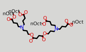 CCCCCCCCOC(=O)CCCN(CCCOC(=O)CCC(=O)OCCCN(CCCC(=O)OCCCCCCCC)CCCC(=O)OCCCCCCCC)CCCC(=O)OCCCCCCCC